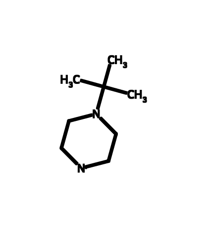 CC(C)(C)N1CC[N]CC1